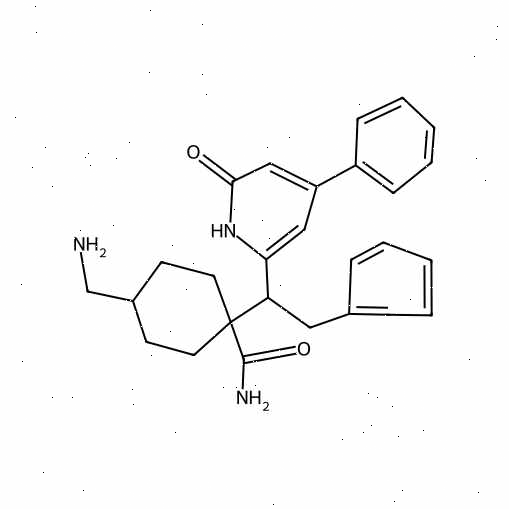 NCC1CCC(C(N)=O)(C(Cc2ccccc2)c2cc(-c3ccccc3)cc(=O)[nH]2)CC1